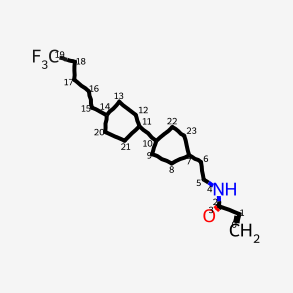 C=CC(=O)NCCC1CCC(C2CCC(CCCCC(F)(F)F)CC2)CC1